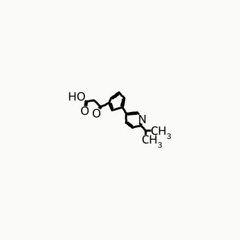 CC(C)c1ccc(-c2cccc(C(=O)CC(=O)O)c2)cn1